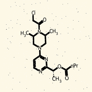 CCCC(=O)O[C@H](C)c1nccc(N2CC(C)N(C(=O)CCl)C(C)C2)n1